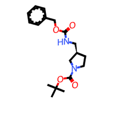 CC(C)(C)OC(=O)N1CC[C@H](CNC(=O)OCc2ccccc2)C1